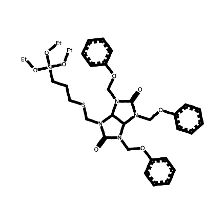 CCO[Si](CCCSCN1C(=O)N(COc2ccccc2)C2C1N(COc1ccccc1)C(=O)N2COc1ccccc1)(OCC)OCC